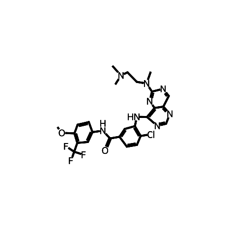 COc1ccc(NC(=O)c2ccc(Cl)c(Nc3ncnc4cnc(N(C)CCN(C)C)nc34)c2)cc1C(F)(F)F